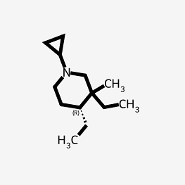 CC[C@@H]1CCN(C2CC2)CC1(C)CC